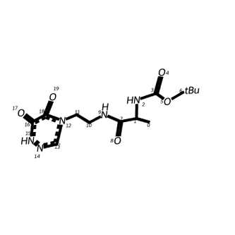 CC(NC(=O)OC(C)(C)C)C(=O)NCCn1[c]n[nH]c(=O)c1=O